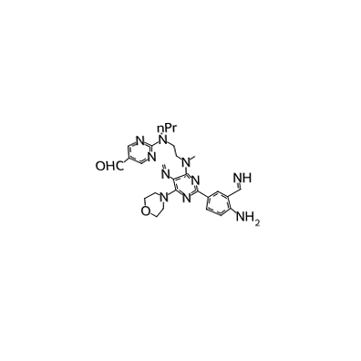 C=Nc1c(N(C)CCN(CCC)c2ncc(C=O)cn2)nc(-c2ccc(N)c(C=N)c2)nc1N1CCOCC1